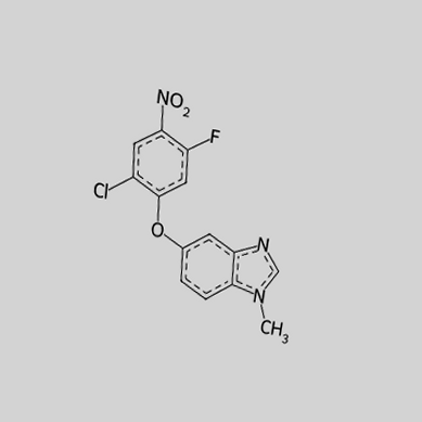 Cn1cnc2cc(Oc3cc(F)c([N+](=O)[O-])cc3Cl)ccc21